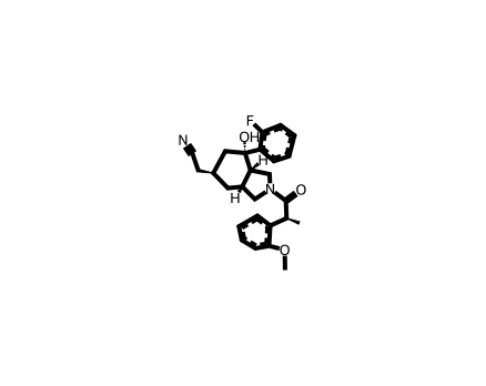 COc1ccccc1[C@H](C)C(=O)N1C[C@@H]2C[C@@H](CC#N)C[C@@](O)(c3ccccc3F)[C@@H]2C1